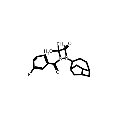 CC1(C)C(=O)N(C2CCC3CC4CC2CC34)N1C(=O)c1cccc(F)c1